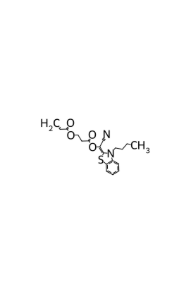 C=CC(=O)OCCC(=O)O/C(C#N)=C1\Sc2ccccc2N1CCCC